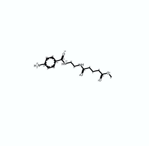 COC(=O)CCCC(=O)NCCNC(=O)c1ccc(N)cc1